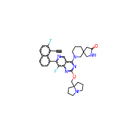 C#Cc1c(F)ccc2cccc(-c3ncc4c(N5CCCC6(CNC(=O)C6)C5)nc(OCC56CCCN5CCC6)nc4c3F)c12